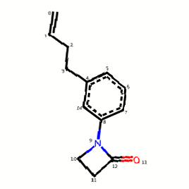 C=CCCc1cccc(N2CCC2=O)c1